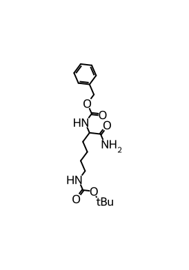 CC(C)(C)OC(=O)NCCCCC(NC(=O)OCc1ccccc1)C(N)=O